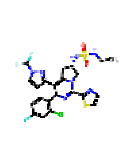 CCNS(=O)(=O)N[C@H]1CC2=C(c3ccn(C(F)F)n3)[C@H](c3ccc(F)cc3Cl)N=C(c3nccs3)N2C1